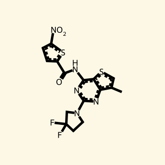 Cc1csc2c(NC(=O)c3ccc([N+](=O)[O-])s3)nc(N3CCC(F)(F)C3)nc12